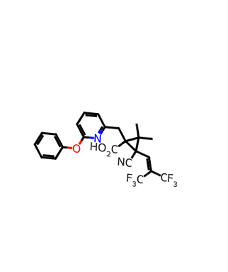 CC1(C)C(C#N)(C=C(C(F)(F)F)C(F)(F)F)C1(Cc1cccc(Oc2ccccc2)n1)C(=O)O